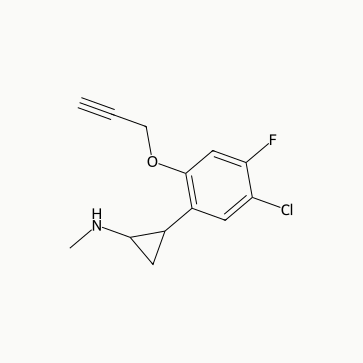 C#CCOc1cc(F)c(Cl)cc1C1CC1NC